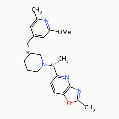 COc1cc(C[C@H]2CCCN([C@H](C)c3ccc4oc(C)nc4n3)C2)cc(C)n1